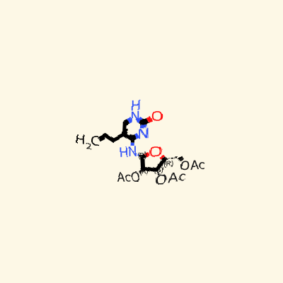 C=CCc1c[nH]c(=O)nc1N[C@@H]1O[C@H](COC(C)=O)[C@H](OC(C)=O)[C@H]1OC(C)=O